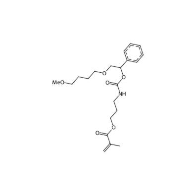 C=C(C)C(=O)OCCCNC(=O)OC(COCCCCOC)c1ccccc1